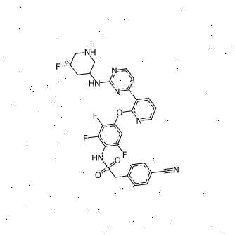 N#Cc1ccc(CS(=O)(=O)Nc2c(F)cc(Oc3ncccc3-c3ccnc(NC4CNC[C@@H](F)C4)n3)c(F)c2F)cc1